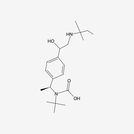 CCC(C)(C)NCC(O)c1ccc([C@H](C)N(C(=O)O)C(C)(C)C)cc1